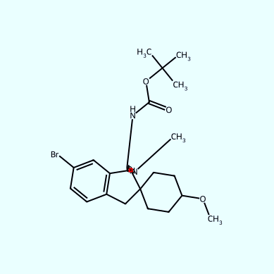 COC1CCC2(CC1)Cc1ccc(Br)cc1C21N=C(NC(=O)OC(C)(C)C)N(C)O1